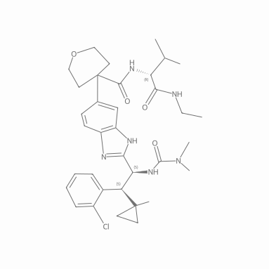 CCNC(=O)[C@H](NC(=O)C1(c2ccc3nc([C@@H](NC(=O)N(C)C)[C@H](c4ccccc4Cl)C4(C)CC4)[nH]c3c2)CCOCC1)C(C)C